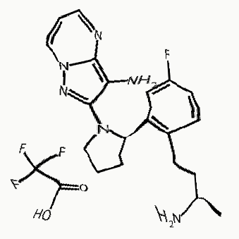 C[C@@H](N)CCc1ccc(F)cc1[C@H]1CCCN1c1nn2cccnc2c1N.O=C(O)C(F)(F)F